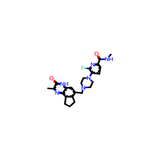 CNC(=O)c1ccc(N2CCN(Cc3cc4[nH]c(=O)c(C)nc4c4c3CCC4)CC2)c(F)n1